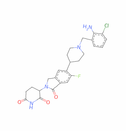 Nc1c(Cl)cccc1CN1CCC(c2cc3c(cc2F)C(=O)N(C2CCC(=O)NC2=O)C3)CC1